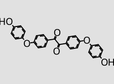 O=C(C(=O)c1ccc(Oc2ccc(O)cc2)cc1)c1ccc(Oc2ccc(O)cc2)cc1